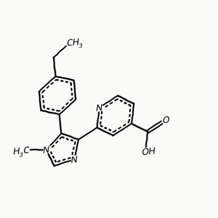 CCc1ccc(-c2c(-c3cc(C(=O)O)ccn3)ncn2C)cc1